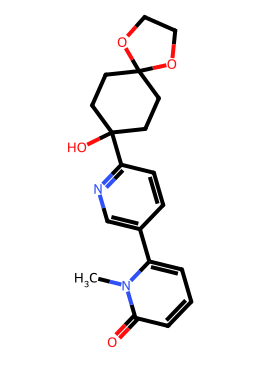 Cn1c(-c2ccc(C3(O)CCC4(CC3)OCCO4)nc2)cccc1=O